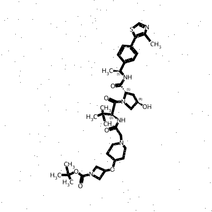 Cc1ncsc1-c1ccc([C@H](C)NC(=O)[C@@H]2C[C@@H](O)CN2C(=O)[C@@H](NC(=O)CN2CCC(OC3CN(C(=O)OC(C)(C)C)C3)CC2)C(C)(C)C)cc1